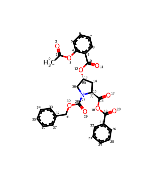 CC(=O)Oc1ccccc1C(=O)O[C@@H]1C[C@@H](C(=O)OC(=O)c2ccccc2)N(C(=O)OCc2ccccc2)C1